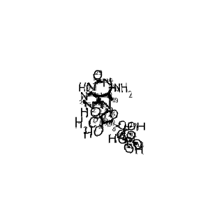 C[C@@]1(O)[C@H](O)[C@@H](COP(=O)(O)OP(=O)(O)O)O[C@H]1n1cc2c3c(ncnc31)NC(=O)N=C2N